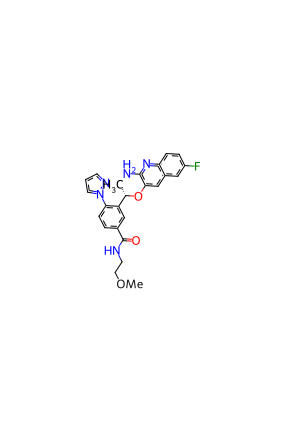 COCCNC(=O)c1ccc(-n2cccn2)c([C@H](C)Oc2cc3cc(F)ccc3nc2N)c1